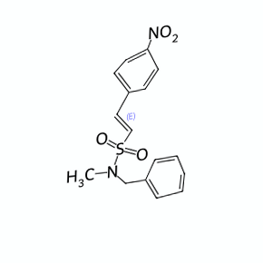 CN(Cc1ccccc1)S(=O)(=O)/C=C/c1ccc([N+](=O)[O-])cc1